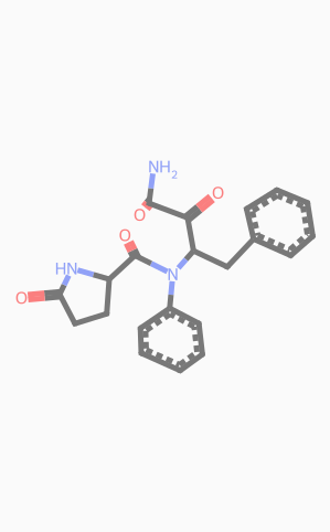 NC(=O)C(=O)C(Cc1ccccc1)N(C(=O)C1CCC(=O)N1)c1ccccc1